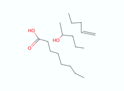 C=CCCC.CCCC(C)O.CCCCCCCC(=O)O